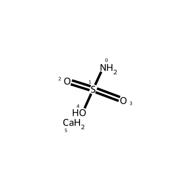 NS(=O)(=O)O.[CaH2]